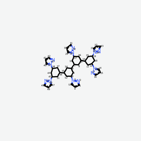 c1cnn(C2CC(C3CC(C4CC(n5cccn5)CC(n5cccn5)C4)CC(n4cccn4)C3)CC(C3CC(n4cccn4)CC(n4cccn4)C3)C2)c1